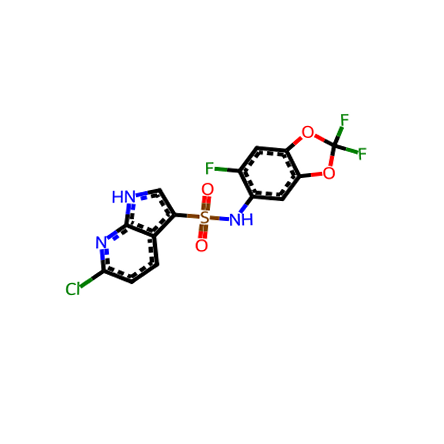 O=S(=O)(Nc1cc2c(cc1F)OC(F)(F)O2)c1c[nH]c2nc(Cl)ccc12